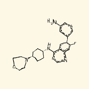 Nc1cncc(-c2cc3c(N[C@H]4CC[C@H](N5CCOCC5)CC4)ncnc3cc2F)c1